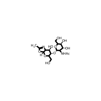 CC(=O)NC1[C@H](O[C@@H]2C(CO)O[C@@H]3OC(C)=NC3[C@H]2O)OC(CO)[C@@H](O)[C@@H]1O